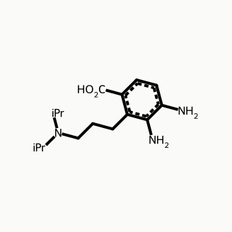 CC(C)N(CCCc1c(C(=O)O)ccc(N)c1N)C(C)C